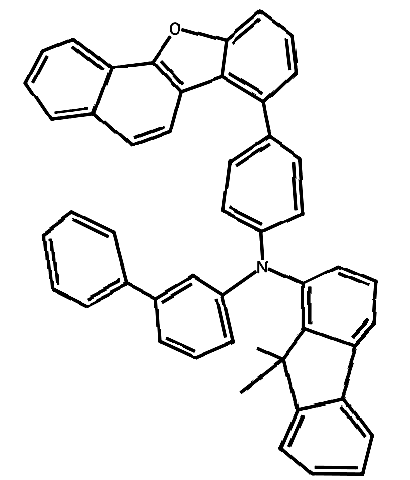 CC1(C)c2ccccc2-c2cccc(N(c3ccc(-c4cccc5oc6c7ccccc7ccc6c45)cc3)c3cccc(-c4ccccc4)c3)c21